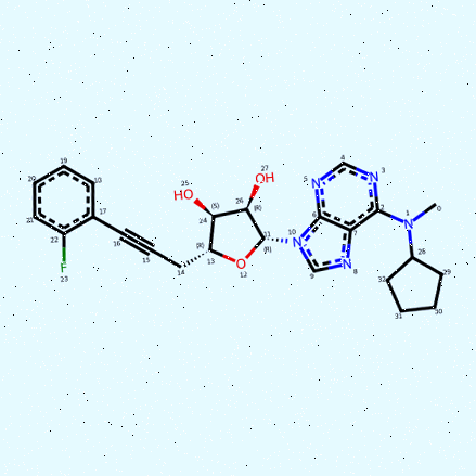 CN(c1ncnc2c1ncn2[C@@H]1O[C@H](CC#Cc2ccccc2F)[C@@H](O)[C@H]1O)C1CCCC1